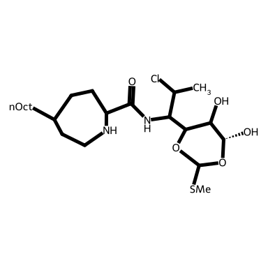 CCCCCCCCC1CCNC(C(=O)NC(C(C)Cl)C2OC(SC)O[C@@H](O)C2O)CC1